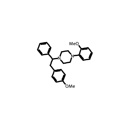 COc1ccc(CC(c2ccccc2)N2CCN(c3ccccc3OC)CC2)cc1